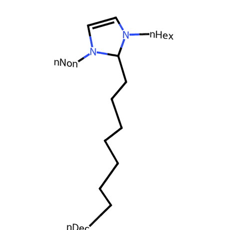 CCCCCCCCCCCCCCCCCC1N(CCCCCC)C=CN1CCCCCCCCC